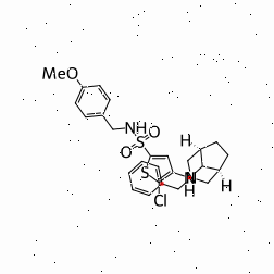 COc1ccc(CNS(=O)(=O)c2cc(NC3[C@@H]4CC[C@H]3CN(Cc3ccccc3)C4)c(Cl)s2)cc1